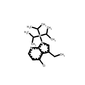 CCc1cn([Si](C(C)C)(C(C)C)C(C)C)c2nccc(Cl)c12